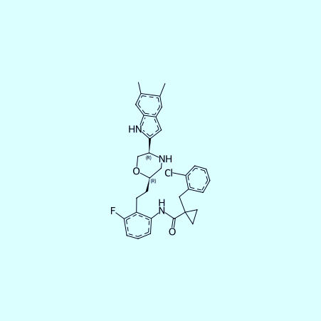 Cc1cc2cc([C@@H]3CO[C@H](CCc4c(F)cccc4NC(=O)C4(Cc5ccccc5Cl)CC4)CN3)[nH]c2cc1C